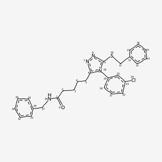 O=C(CCCCc1nnc(SCc2ccccc2)n1-c1cccc(Cl)c1)NCc1ccccc1